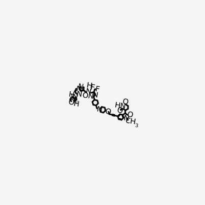 CN1C(=O)C(C2CCC(=O)NC2=O)c2cc(C#CCOC3CCN(CC4CCC(C5N=C(NC(=O)c6cnn7ccc(N8C[C@H]9C[C@@H]8CO9)nc67)C(C(F)F)=N5)CC4)CC3)ccc21